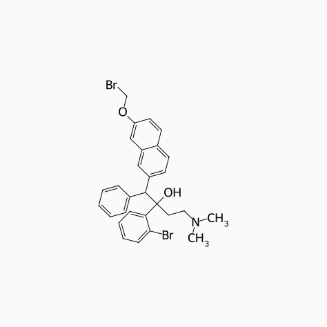 CN(C)CCC(O)(c1ccccc1Br)C(c1ccccc1)c1ccc2ccc(OCBr)cc2c1